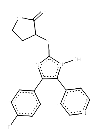 Cn1c(SC2CCOC2=O)nc(-c2ccc(F)cc2)c1-c1ccncc1